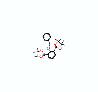 CC1OB(c2cccc(B3OC(C)(C)C(C)(C)O3)c2OCc2ccccc2)OC1(C)C